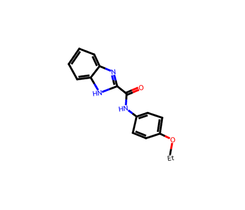 CCOc1ccc(NC(=O)c2nc3ccccc3[nH]2)cc1